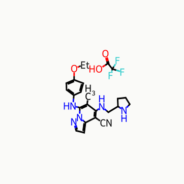 CCOc1ccc(Nc2c(C)c(NCC3CCCN3)c(C#N)c3ccnn23)cc1.O=C(O)C(F)(F)F